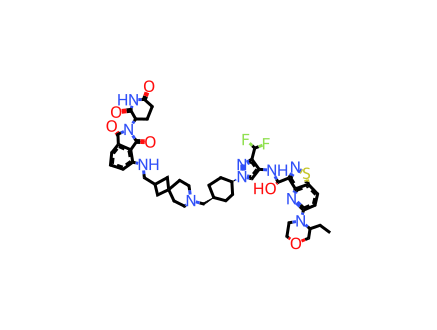 CCC1COCCN1c1ccc2snc(C(O)Nc3cn([C@H]4CC[C@H](CN5CCC6(CC5)CC(CNc5cccc7c5C(=O)N(C5CCC(=O)NC5=O)C7=O)C6)CC4)nc3C(F)F)c2n1